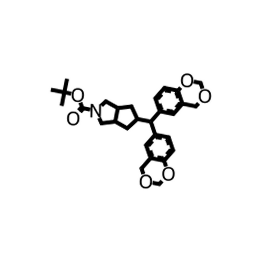 CC(C)(C)OC(=O)N1CC2CC(C(c3ccc4c(c3)COCO4)c3ccc4c(c3)COCO4)CC2C1